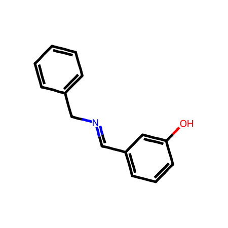 Oc1cccc(C=NCc2ccccc2)c1